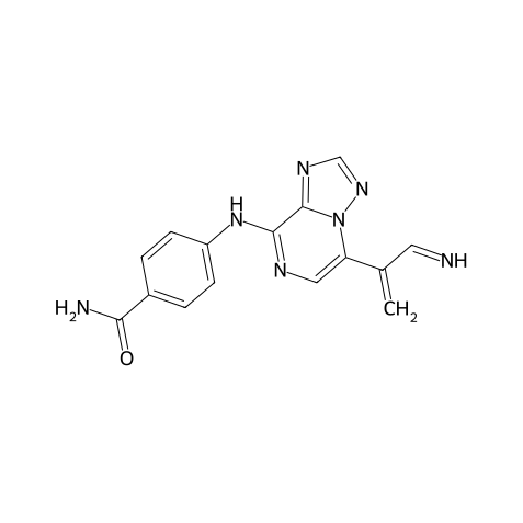 C=C(C=N)c1cnc(Nc2ccc(C(N)=O)cc2)c2ncnn12